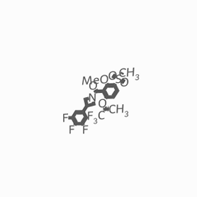 COc1c(S(C)(=O)=O)ccc(O[C@@H](C)C(F)(F)F)c1C(=O)N1CC(c2cc(F)c(F)c(F)c2)C1